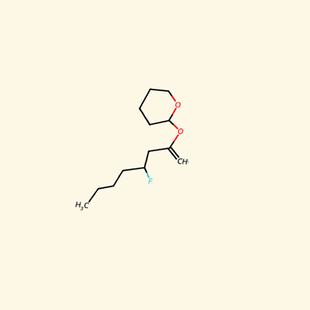 [CH]=C(CC(F)CCCC)OC1CCCCO1